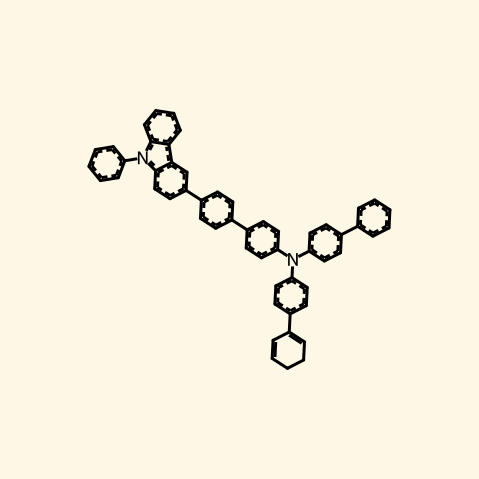 C1=CC(c2ccc(N(c3ccc(-c4ccccc4)cc3)c3ccc(-c4ccc(-c5ccc6c(c5)c5ccccc5n6-c5ccccc5)cc4)cc3)cc2)=CCC1